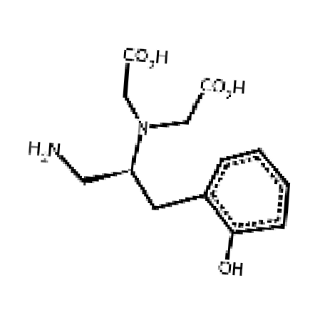 NC[C@H](Cc1ccccc1O)N(CC(=O)O)CC(=O)O